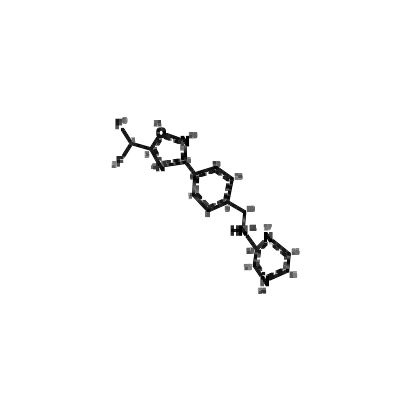 FC(F)c1nc(-c2ccc(CNc3cnccn3)cc2)no1